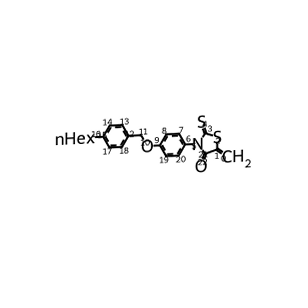 C=C1SC(=S)N(c2ccc(OCc3ccc(CCCCCC)cc3)cc2)C1=O